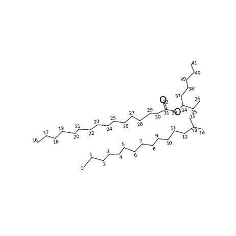 CCCCCCCCCCCCCC(C)C.CCCCCCCCCCCCCCCC(=O)OC(CC)CCCCC